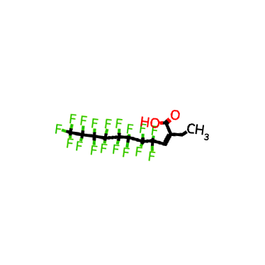 CCC(=CC(F)(F)C(F)(F)C(F)(F)C(F)(F)C(F)(F)C(F)(F)C(F)(F)C(F)(F)F)C(=O)O